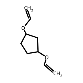 C=COC1CCC(OC=C)C1